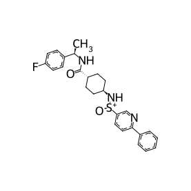 C[C@@H](NC(=O)[C@H]1CC[C@H](N[S+]([O-])c2ccc(-c3ccccc3)nc2)CC1)c1ccc(F)cc1